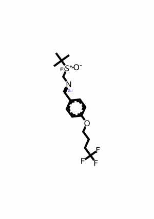 CC(C)(C)[S@+]([O-])C/N=C/c1ccc(OCCCC(F)(F)F)cc1